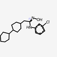 O/N=C(/CC1CCC(C2CCCCC2)CC1)Nc1cccc(Cl)c1